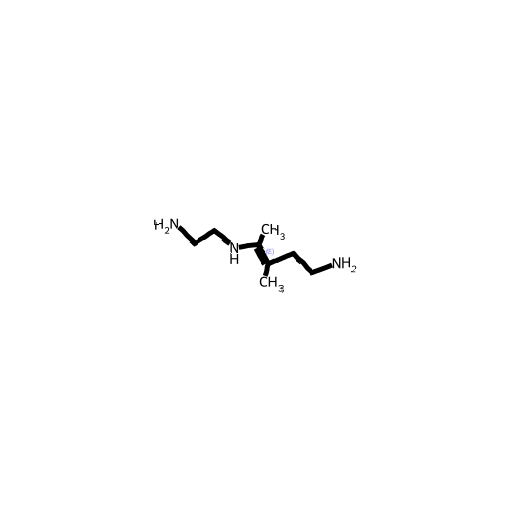 C/C(CCN)=C(/C)NCCN